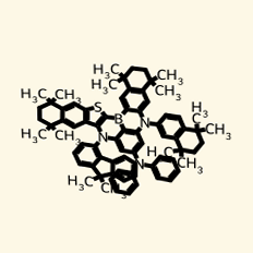 CC1(C)CCC(C)(C)c2cc(N3c4cc5c(cc4B4c6sc7cc8c(cc7c6N(c6cccc7c6-c6ccccc6C7(C)C)c6cc(N(c7ccccc7)c7ccccc7)cc3c64)C(C)(C)CCC8(C)C)C(C)(C)CCC5(C)C)ccc21